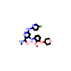 CNC(=O)c1nnc(Nc2ccc(F)cn2)cc1Nc1cccc(OC2CCOCC2)c1OC